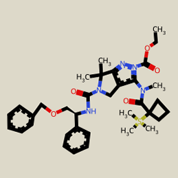 CCOC(=O)n1nc2c(c1N(C)C(=O)C1(S(C)(C)C)CCC1)CN(C(=O)N[C@H](COCc1ccccc1)c1ccccc1)C2(C)C